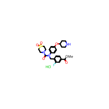 COC(=O)c1ccc(CN(C(=O)N2CCS(=O)(=O)CC2)c2ccc(OC3CCNCC3)cc2)c(F)c1.Cl